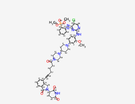 COc1cc(N2CCC(N3CCN(C(=O)CCCC#Cc4cccc5c4CN(C4CCC(=O)NC4=O)C5=O)CC3)CC2)ccc1Nc1ncc(Cl)c(Nc2ccccc2P(=O)(OC)OC)n1